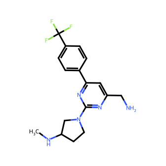 CNC1CCN(c2nc(CN)cc(-c3ccc(C(F)(F)F)cc3)n2)C1